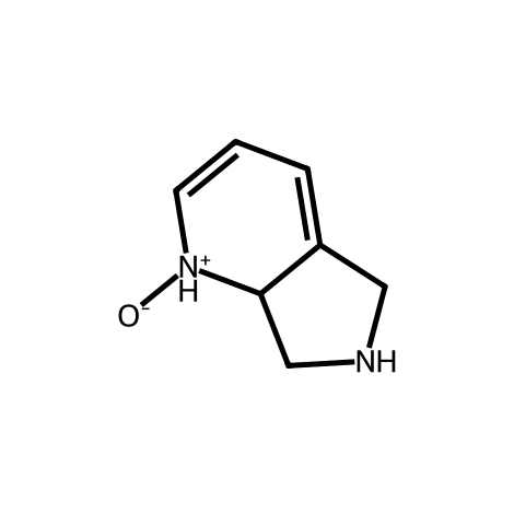 [O-][NH+]1C=CC=C2CNCC21